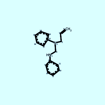 C=CCN(CNc1ccccc1)c1ccccc1